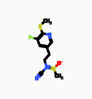 CSc1ncc(CC[N+](C#N)=S(C)[O-])cc1F